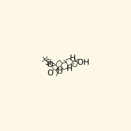 CC(C)C1=C2[C@H]3CC[C@@H]4[C@@]5(C)CCC(O)C(C)(C)[C@@H]5CC[C@@]4(C)[C@]3(C)CC[C@@]2(CO[Si](C)(C)C(C)(C)C)CC1=O